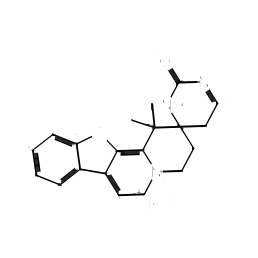 CC1(C)C2=c3oc4ccccc4c3=CCN2CCC12CC=NC(=O)N2.Cl